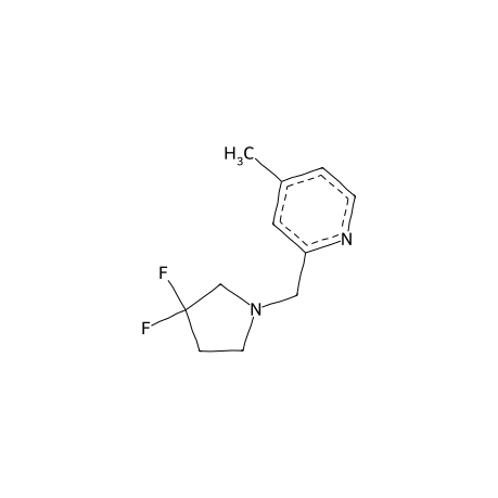 Cc1ccnc(CN2CCC(F)(F)C2)c1